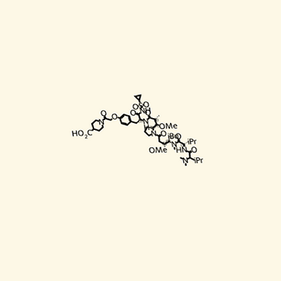 CC[C@H](C)[C@@H]([C@@H](CC(=O)N1CCC[C@H]1[C@H](OC)[C@@H](C)C(=O)N[C@@H](Cc1ccc(OCC(=O)N2CCC(C(=O)O)CC2)cc1)C(=O)NS(=O)(=O)C1CC1)OC)N(C)C(=O)[C@@H](NC(=O)C(C(C)C)N(C)C)C(C)C